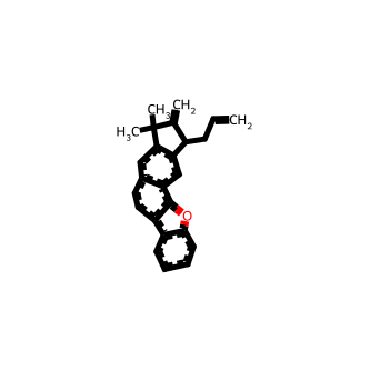 C=CCC1C(=C)C(C)(C)c2cc3ccc4c5ccccc5oc4c3cc21